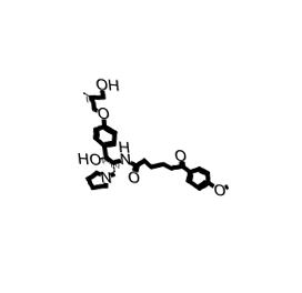 COc1ccc(C(=O)CCCCC(=O)N[C@H](CN2CCCC2)[C@H](O)c2ccc(OC[C@H](C)CO)cc2)cc1